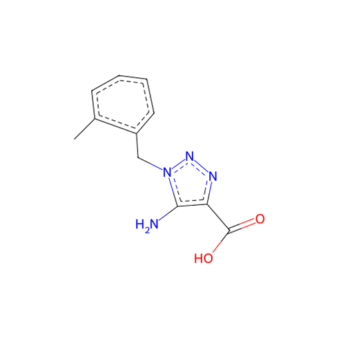 Cc1ccccc1Cn1nnc(C(=O)O)c1N